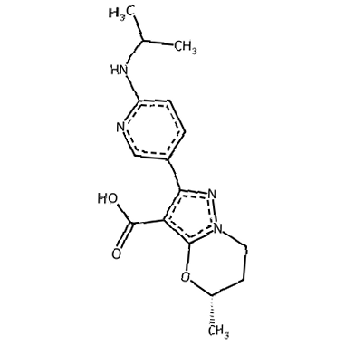 CC(C)Nc1ccc(-c2nn3c(c2C(=O)O)O[C@@H](C)CC3)cn1